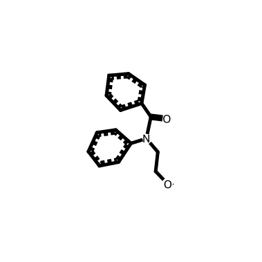 [O]CCN(C(=O)c1ccccc1)c1ccccc1